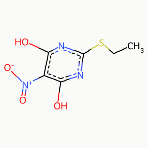 CCSc1nc(O)c([N+](=O)[O-])c(O)n1